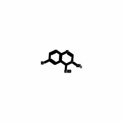 CN1C=Nc2ccc(Br)cc2C1C=O